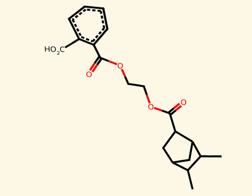 CC1C2CC(C(=O)OCCOC(=O)c3ccccc3C(=O)O)C(C2)C1C